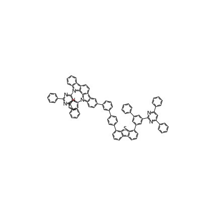 c1ccc(-c2cc(-c3nc(-c4ccccc4)cc(-c4ccccc4)n3)cc(-c3cccc4c3sc3c(-c5ccc(-c6cccc(-c7ccc8c(c7)c7ccc9c%10ccccc%10n(-c%10nc(-c%11ccccc%11)nc(-c%11ccccc%11)n%10)c9c7n8-c7ccccc7)c6)cc5)cccc34)c2)cc1